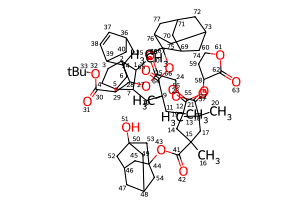 CC1C2CCC(C2)C1CC(C)(CC(C)(CC(C)(CC(C)(C)C(=O)OCC(=O)OC(CC(=O)OC(C)(C)C)C1CC2C=CC1C2)C(=O)OC12CC3CC(CC(O)(C3)C1)C2)C(=O)OC1CCOC1=O)C(=O)OC1(C)C2CC3CC(C2)CC1C3